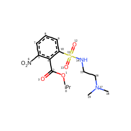 CC(C)OC(=O)c1c([N+](=O)[O-])cccc1S(=O)(=O)NCCN(C)C